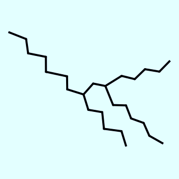 CCCCCCCC(CCCCC)CC(CCCCC)CCCCCC